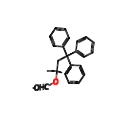 CC(C)(CC(c1ccccc1)(c1ccccc1)c1ccccc1)O[C]=O